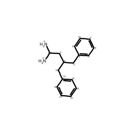 NC(N)CC(Cc1ccccc1)Cc1ccccc1